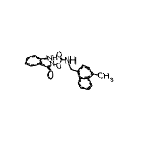 Cc1ccc(CNC(=O)On2[nH]c3ccccc3c2=O)c2ccccc12